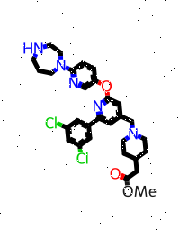 COC(=O)CC1CCN(Cc2cc(Oc3ccc(N4CCCNCC4)nc3)nc(-c3cc(Cl)cc(Cl)c3)c2)CC1